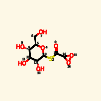 O=C(SC1O[C@H](CO)[C@@H](O)[C@H](O)[C@H]1O)C1OO1